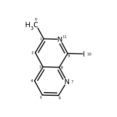 Cc1cc2cccnc2c(I)n1